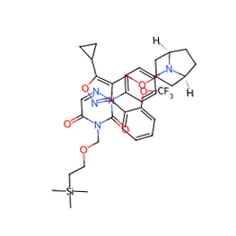 C[Si](C)(C)CCOCn1c(=O)cnn(-c2ccc(N3[C@@H]4CC[C@H]3CC(OCc3c(-c5ccccc5OC(F)(F)F)noc3C3CC3)C4)cc2)c1=O